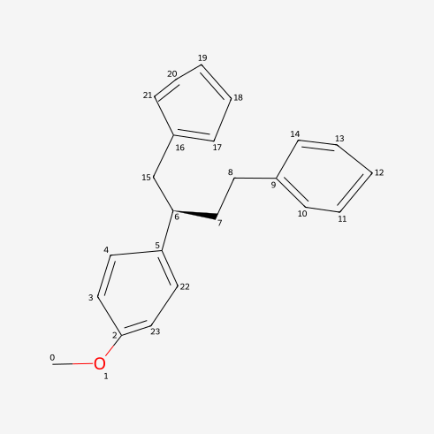 COc1ccc([C@H](CCc2ccccc2)Cc2ccccc2)cc1